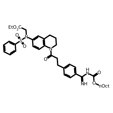 CCCCCCCCOC(=O)NC(=N)c1ccc(CCC(=O)N2CCCc3cc(N(CC(=O)OCC)S(=O)(=O)c4ccccc4)ccc32)cc1